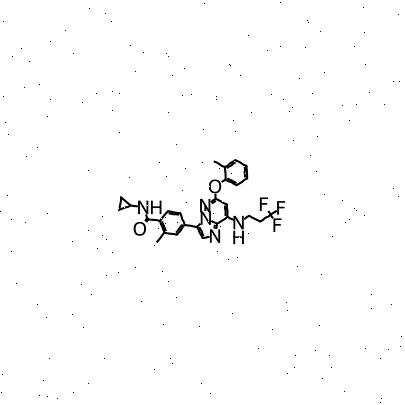 Cc1ccccc1Oc1cc(NCCC(F)(F)F)c2ncc(-c3ccc(C(=O)NC4CC4)c(C)c3)n2n1